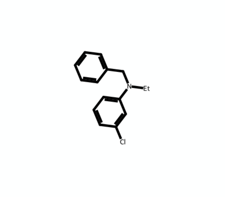 CCN(Cc1ccccc1)c1cccc(Cl)c1